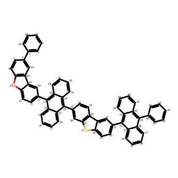 c1ccc(-c2ccc3oc4ccc(-c5c6ccccc6c(-c6ccc7c(c6)sc6ccc(-c8c9ccccc9c(-c9ccccc9)c9ccccc89)cc67)c6ccccc56)cc4c3c2)cc1